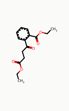 CCOC(=O)CCC(=O)c1ccccc1C(=O)OCC